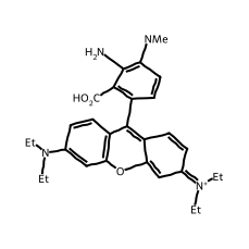 CCN(CC)c1ccc2c(-c3ccc(NC)c(N)c3C(=O)O)c3ccc(=[N+](CC)CC)cc-3oc2c1